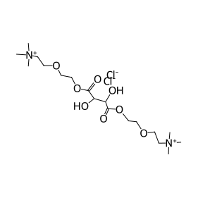 C[N+](C)(C)CCOCCOC(=O)C(O)C(O)C(=O)OCCOCC[N+](C)(C)C.[Cl-].[Cl-]